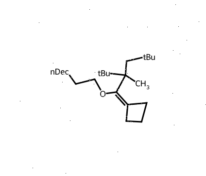 CCCCCCCCCCCCOC(=C1CCC1)C(C)(CC(C)(C)C)C(C)(C)C